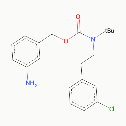 CC(C)(C)N(CCc1cccc(Cl)c1)C(=O)OCc1cccc(N)c1